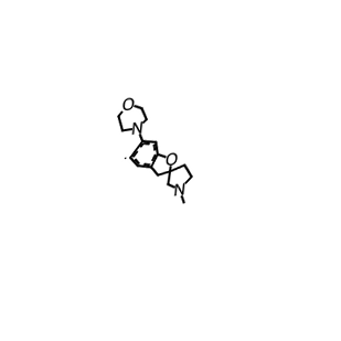 CN1CCC2(Cc3c[c]c(N4CCOCC4)cc3O2)C1